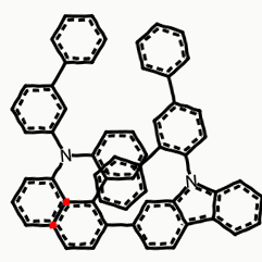 c1ccc(-c2cccc(N(c3ccccc3)c3ccccc3-c3ccccc3-c3ccc4c5ccccc5n(-c5ccc(-c6ccccc6)cc5-c5ccccc5)c4c3)c2)cc1